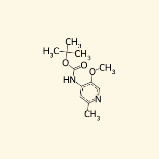 COc1cnc(C)cc1NC(=O)OC(C)(C)C